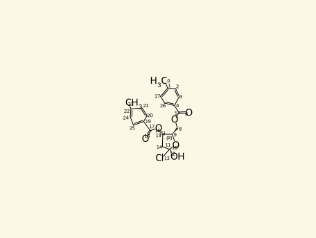 Cc1ccc(C(=O)OC[C@H]2OC(O)(Cl)C[C@@H]2OC(=O)c2ccc(C)cc2)cc1